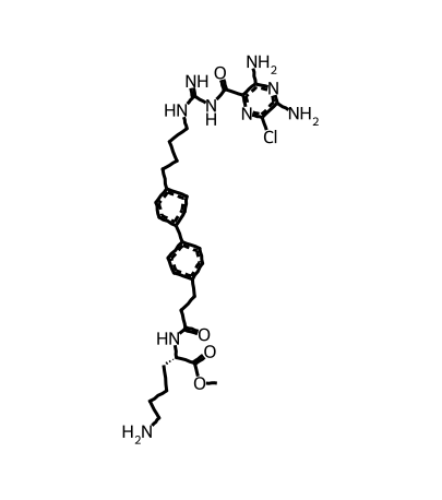 COC(=O)[C@H](CCCCN)NC(=O)CCc1ccc(-c2ccc(CCCCNC(=N)NC(=O)c3nc(Cl)c(N)nc3N)cc2)cc1